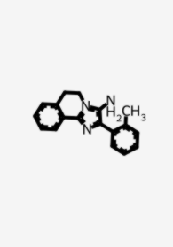 Cc1ccccc1-c1nc2n(c1N)CCc1ccccc1-2